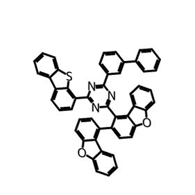 c1ccc(-c2cccc(-c3nc(-c4cccc5c4sc4ccccc45)nc(-c4c(-c5cccc6oc7ccccc7c56)ccc5oc6ccccc6c45)n3)c2)cc1